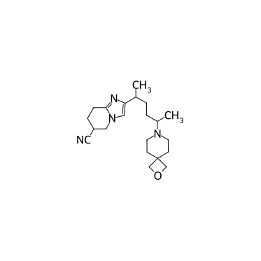 CC(CCC(C)N1CCC2(CC1)COC2)c1cn2c(n1)CCC(C#N)C2